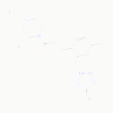 Cc1nnn(Cc2cc(Cl)ccc2/C=C/C(=O)N2CCN(C(=O)O)CC2C)n1